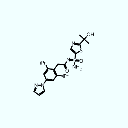 CC(C)c1cc(-n2cccn2)cc(C(C)C)c1CC(=O)N=S(N)(=O)c1cnc(C(C)(C)O)s1